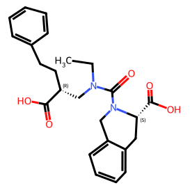 CCN(C[C@@H](CCc1ccccc1)C(=O)O)C(=O)N1Cc2ccccc2C[C@H]1C(=O)O